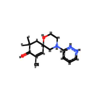 CC1(C)CC2(C=C(C#N)C1=O)CN(c1cccnn1)CCO2